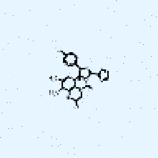 CC1=CC2(C)C3=C(NC(=O)CN3C(=O)N3C(c4cccs4)=NC(c4ccc(Cl)cc4)C32)C1C